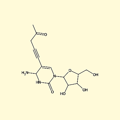 CC(=O)CC#CC1=CN(C2OC(CO)C(O)C2O)C(=O)NC1N